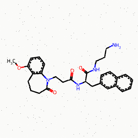 COc1cccc2c1CCCC(=O)N2CCC(=O)NC(Cc1ccc2ccccc2c1)C(=O)NCCCN